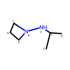 CC(C)NN1CCC1